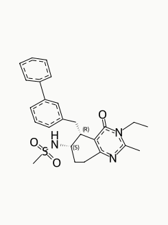 CCn1c(C)nc2c(c1=O)[C@@H](Cc1cccc(-c3ccccc3)c1)[C@@H](NS(C)(=O)=O)CC2